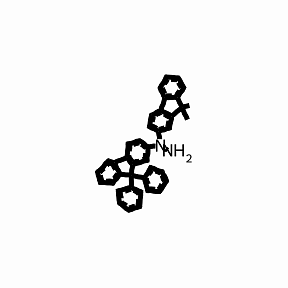 CC1(C)c2ccccc2-c2ccc(N(N)c3ccc4c(c3)C(c3ccccc3)(c3ccccc3)c3ccccc3-4)cc21